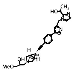 COCC(O)CN1C[C@@H]2[C@@H](C#Cc3ccc(-c4cc(Cn5ccnc5[C@H](C)O)no4)cc3)[C@@H]2C1